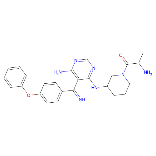 CC(N)C(=O)N1CCCC(Nc2ncnc(N)c2C(=N)c2ccc(Oc3ccccc3)cc2)C1